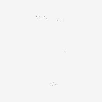 CNC(C)CC=Cc1cncc(-c2ccc(OC)cc2)c1